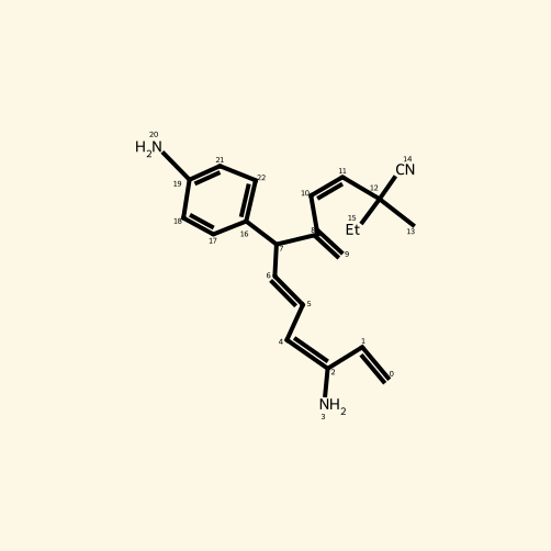 C=C/C(N)=C\C=C\C(C(=C)/C=C\C(C)(C#N)CC)c1ccc(N)cc1